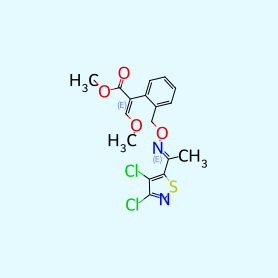 CO/C=C(/C(=O)OC)c1ccccc1CO/N=C(\C)c1snc(Cl)c1Cl